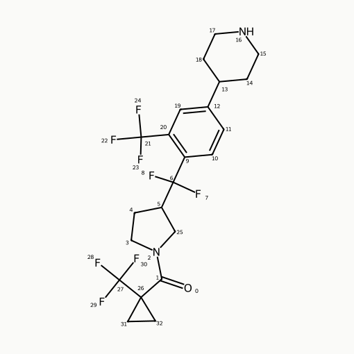 O=C(N1CCC(C(F)(F)c2ccc(C3CCNCC3)cc2C(F)(F)F)C1)C1(C(F)(F)F)CC1